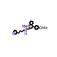 COc1ccc(/C(=C/C=C/C(=O)NCCCCc2cccnc2)c2ccccc2OC)cc1